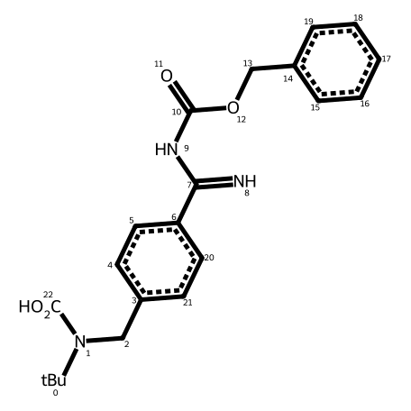 CC(C)(C)N(Cc1ccc(C(=N)NC(=O)OCc2ccccc2)cc1)C(=O)O